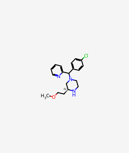 COCC[C@H]1CN(C(c2ccc(Cl)cc2)c2ccccn2)CCN1